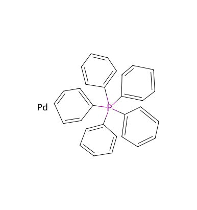 [Pd].c1ccc(P(c2ccccc2)(c2ccccc2)(c2ccccc2)c2ccccc2)cc1